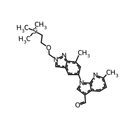 Cc1ccc2c(C=O)cn(-c3cc(C)c4nn(COCC[Si](C)(C)C)cc4c3)c2n1